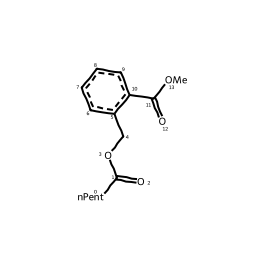 CCCCCC(=O)OCc1ccccc1C(=O)OC